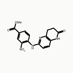 COC(=O)c1ccc(Nc2ccc3c(n2)CCC(=O)N3)c([N+](=O)[O-])c1